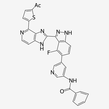 CC(=O)c1ccc(-c2nccc3[nH]c(-c4n[nH]c5ccc(-c6cncc(NC(=O)c7ccccc7)c6)c(F)c45)nc23)s1